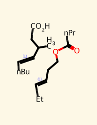 CC/C=C/CCOC(=O)CCC.CCCC/C=C/C(C)CC(=O)O